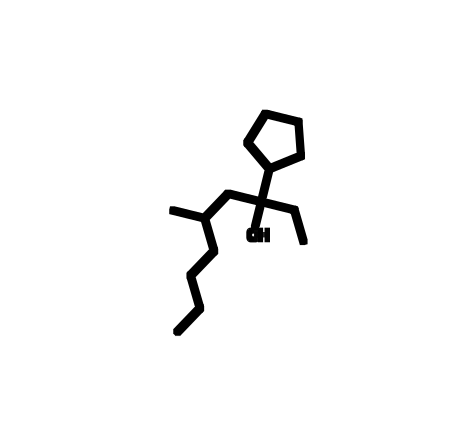 CCCCC(C)CC(O)(CC)C1CCCC1